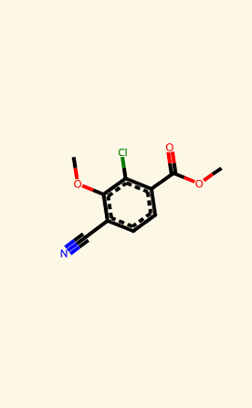 COC(=O)c1ccc(C#N)c(OC)c1Cl